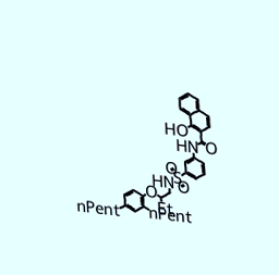 CCCCCc1ccc(OC(CC)CNS(=O)(=O)c2cccc(NC(=O)c3ccc4ccccc4c3O)c2)c(CCCCC)c1